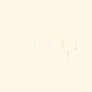 COC(CNCc1ccccc1Br)OC